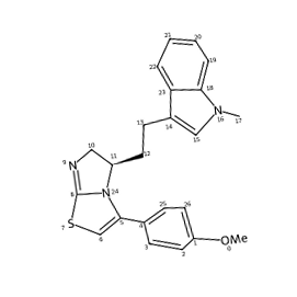 COc1ccc(C2=CSC3=NC[C@@H](CCc4cn(C)c5ccccc45)N23)cc1